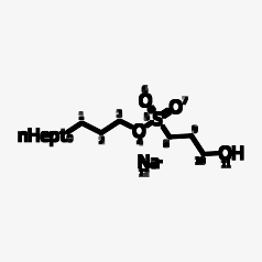 CCCCCCCCCCOS(=O)(=O)CCCO.[Na]